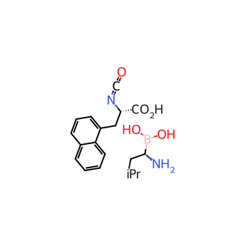 CC(C)C[C@H](N)B(O)O.O=C=N[C@@H](Cc1cccc2ccccc12)C(=O)O